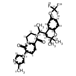 Cc1cn(-c2ccc3n(c2=O)CCN(C(C)C2=CC(C)(C)Oc4ccc(OC(F)(F)F)cc42)C3=O)cn1